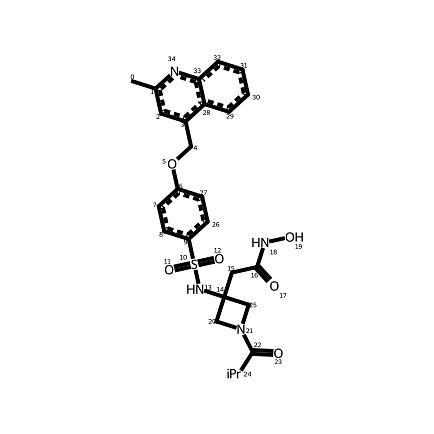 Cc1cc(COc2ccc(S(=O)(=O)NC3(CC(=O)NO)CN(C(=O)C(C)C)C3)cc2)c2ccccc2n1